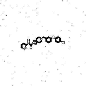 O=C(Nc1cccnn1)N1CC2(CCN(Cc3cccc(Oc4ccc(Cl)cc4)c3)CC2)C1